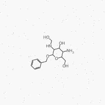 NC1C(CO)OC(OCc2ccccc2)C(NCO)C1O